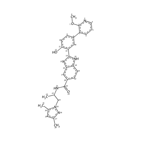 COc1ncccc1-c1ccc(O)c(-c2nc3cc(C(=O)NC(C)Cn4nc(C)cc4C)ccc3[nH]2)c1